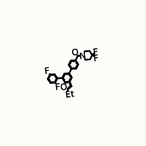 CCc1cc2cc(-c3ccc(C(=O)N4CCC(F)(F)CC4)cc3)cc(-c3cc(F)ccc3F)c2o1